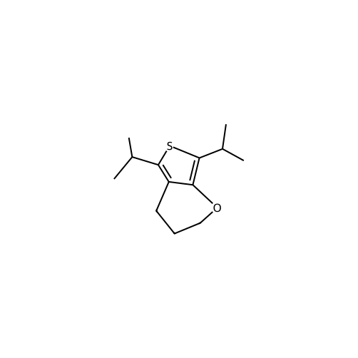 CC(C)c1sc(C(C)C)c2c1CCCO2